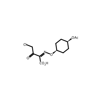 CC(=O)O[C@H]1CC[C@@H](O/N=C(\C(=O)O)C(=O)CCl)CC1